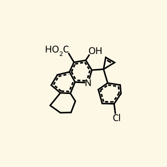 O=C(O)c1c(O)c(C2(c3ccc(Cl)cc3)C=C2)nc2c3c(ccc12)CCCC3